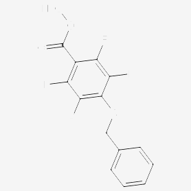 COC(=O)c1c(F)c(F)c(SCc2ccccc2)c(F)c1F